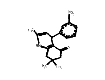 CC1=CC(c2cccc([N+](=O)[O-])c2)C2=C(CC(C)(C)CC2=O)N1